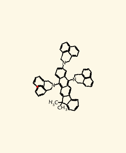 CC1(C)c2ccccc2-c2cc3c(N(Cc4ccccc4)Cc4ccccc4)c4cc(N(Cc5ccccc5)Cc5ccccc5)ccc4c(N(Cc4ccccc4)Cc4ccccc4)c3cc21